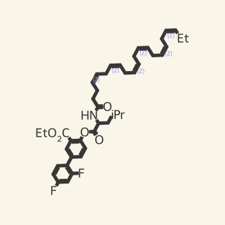 CC/C=C\C/C=C\C/C=C\C/C=C\C/C=C\C/C=C\CCC(=O)NC(CC(C)C)C(=O)Oc1ccc(-c2ccc(F)cc2F)cc1C(=O)OCC